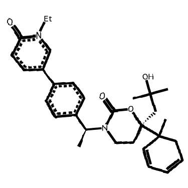 CCn1cc(-c2ccc([C@H](C)N3CC[C@](CC(C)(C)O)(C4(C)C=CC=CC4)OC3=O)cc2)ccc1=O